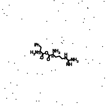 CC(C)C[C@H](N)C(=O)OC(=O)[C@@H](N)CCCNC(=N)N